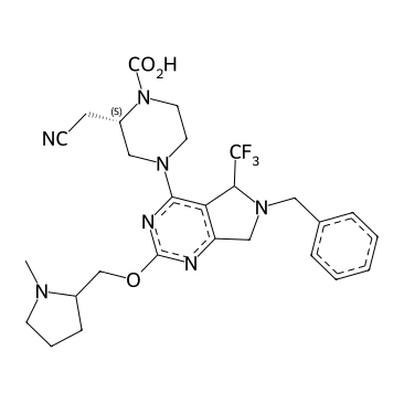 CN1CCCC1COc1nc2c(c(N3CCN(C(=O)O)[C@@H](CC#N)C3)n1)C(C(F)(F)F)N(Cc1ccccc1)C2